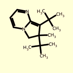 CC(C)(C)C1=C2N=CC=CN2CC1(C)C(C)(C)C